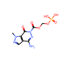 Cn1ncc2c(N)nn(C(=O)OCOP(=O)(O)O)c(=O)c21